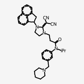 CC(C)N(C(=O)CCN1CCN(C2Cc3cccc4cccc2c34)C1=C(C#N)C#N)c1cccc(CN2CCCCC2)c1